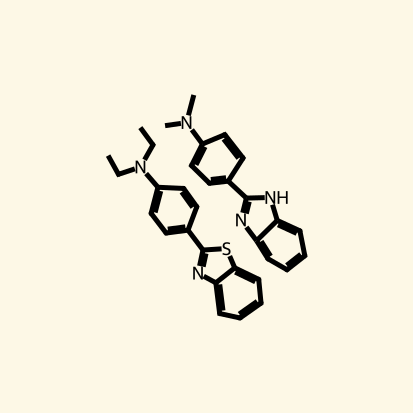 CCN(CC)c1ccc(-c2nc3ccccc3s2)cc1.CN(C)c1ccc(-c2nc3ccccc3[nH]2)cc1